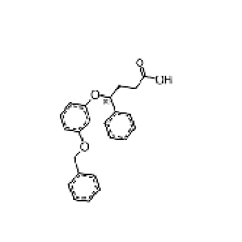 O=C(O)CC[C@H](Oc1cccc(OCc2ccccc2)c1)c1ccccc1